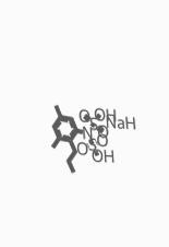 CCCc1c(C)cc(C)cc1N(S(=O)(=O)O)S(=O)(=O)O.[NaH]